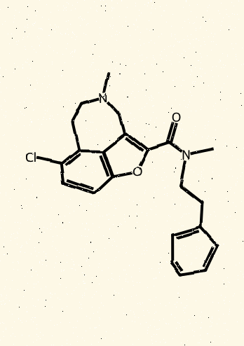 CN1CCc2c(Cl)ccc3oc(C(=O)N(C)CCc4ccccc4)c(c23)C1